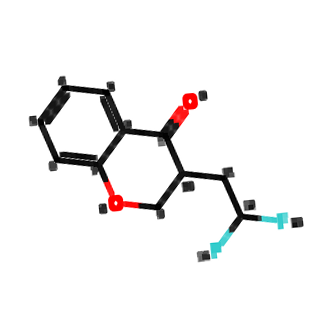 O=C1c2ccccc2OCC1CC(F)F